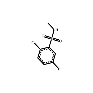 CNS(=O)(=O)c1cc(F)ccc1Cl